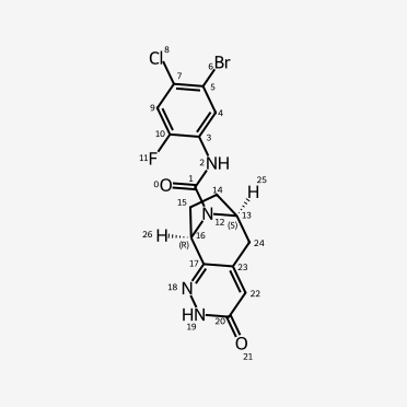 O=C(Nc1cc(Br)c(Cl)cc1F)N1[C@H]2CC[C@@H]1c1n[nH]c(=O)cc1C2